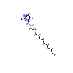 CCCCCCCCCCCCCC[n+]1cc[nH]c1C